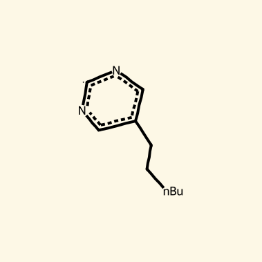 CCCCCCc1cn[c]nc1